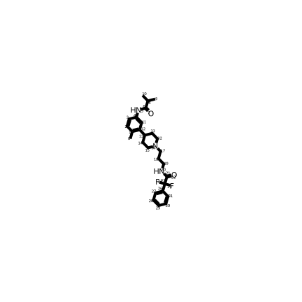 Cc1ccc(NC(=O)C(C)C)cc1C1CCN(CCCNC(=O)C(F)(F)c2ccccc2)CC1